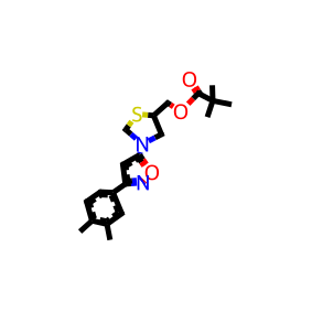 Cc1ccc(-c2cc(N3CSC(COC(=O)C(C)(C)C)C3)on2)cc1C